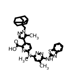 Cc1cc(N(C)c2ccc(-c3cnn(CC45CC6CC(CC(C6)C4)C5)c3C)c(C(=O)O)n2)nnc1Nc1nc2ccccc2s1